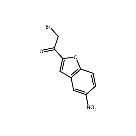 O=C(CBr)c1cc2cc([N+](=O)[O-])ccc2o1